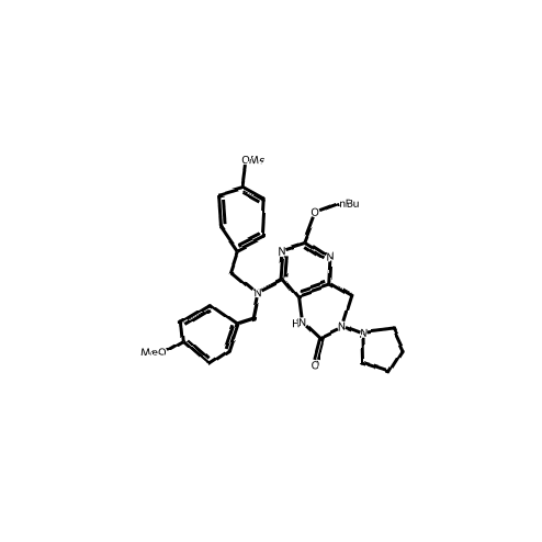 CCCCOc1nc2c(c(N(Cc3ccc(OC)cc3)Cc3ccc(OC)cc3)n1)NC(=O)N(N1CCCC1)C2